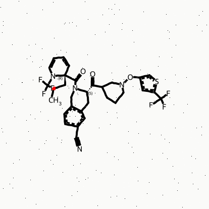 CCC[C@]1(C(=O)N2Cc3ccc(C#N)cc3C[C@H]2C(=O)C2CCCN(Oc3csc(C(F)(F)F)c3)C2)C=CC=CN1C(F)(F)F